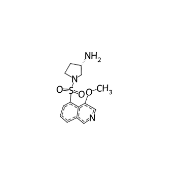 COc1cncc2cccc(S(=O)(=O)N3CC[C@H](N)C3)c12